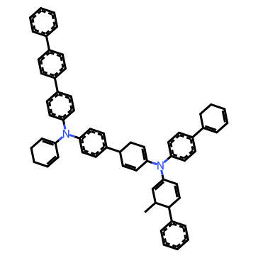 CC1C=C(N(C2=CCC(c3ccc(N(C4=CCCC=C4)c4ccc(-c5ccc(-c6ccccc6)cc5)cc4)cc3)C=C2)c2ccc(C3=CC=CCC3)cc2)C=CC1c1ccccc1